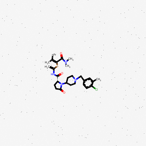 C=C(NC(=O)[C@H]1CCC(=O)N1C1CCN(Cc2ccc(Cl)c(C)c2)CC1)S/C(C(=O)N(C)C)=C(\C)CCC